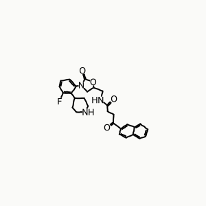 O=C(CCC(=O)c1ccc2ccccc2c1)NCC1CN(c2cccc(F)c2C2CCNCC2)C(=O)O1